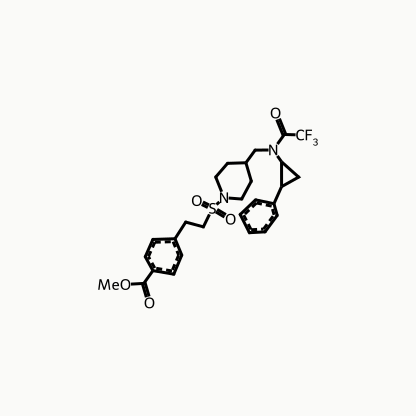 COC(=O)c1ccc(CCS(=O)(=O)N2CCC(CN(C(=O)C(F)(F)F)C3CC3c3ccccc3)CC2)cc1